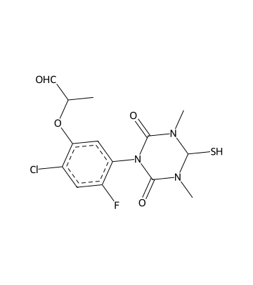 CC(C=O)Oc1cc(N2C(=O)N(C)C(S)N(C)C2=O)c(F)cc1Cl